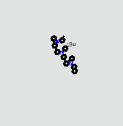 Cc1cccc(-n2c3ccccc3c3ccc(-c4cccc(N(c5ccc(-c6cccc7c6c6ccccc6n7-c6ccc7ccccc7c6)cc5)c5ccc(C(C)(C)C)cc5)c4)cc32)c1